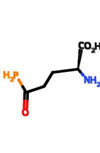 N[C@@H](CCC(=O)P)C(=O)O